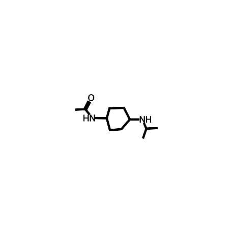 CC(=O)NC1CCC(NC(C)C)CC1